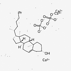 CC(C)CCC[C@@H](C)[C@H]1CC[C@H]2[C@@H]3CC=C4C[C@@H](O)CC[C@]4(C)[C@H]3CC[C@]12C.O=P([O-])([O-])[O-].O=P([O-])([O-])[O-].[Ca+2].[Ca+2].[Ca+2]